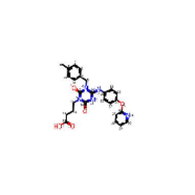 Cc1ccc(Cn2c(=O)n(CCCC(=O)O)c(=O)[nH]/c2=N\c2ccc(Oc3ccccn3)cc2)cc1